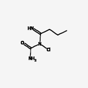 CCCC(=N)N(Cl)C(N)=O